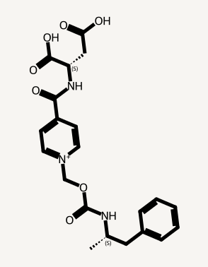 C[C@@H](Cc1ccccc1)NC(=O)OC[n+]1ccc(C(=O)N[C@@H](CC(=O)O)C(=O)O)cc1